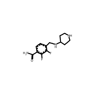 NC(=O)c1ccc(CNC2CCNCC2)c(F)c1F